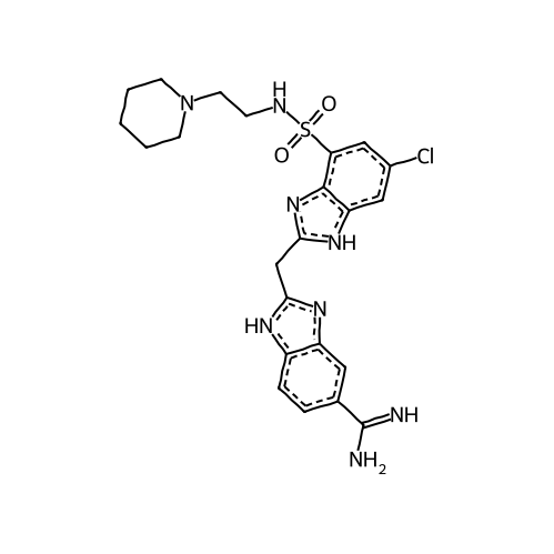 N=C(N)c1ccc2[nH]c(Cc3nc4c(S(=O)(=O)NCCN5CCCCC5)cc(Cl)cc4[nH]3)nc2c1